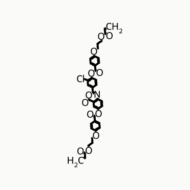 C=CC(=O)OCCCOc1ccc(C(=O)Oc2ccc3nc(-c4ccc(OC(=O)c5ccc(OCCCOC(=O)C=C)cc5)c(Cl)c4)oc(=O)c3c2)cc1